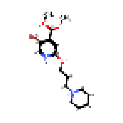 COC(OC)c1cc(OCCCN2CCCCC2)ncc1Br